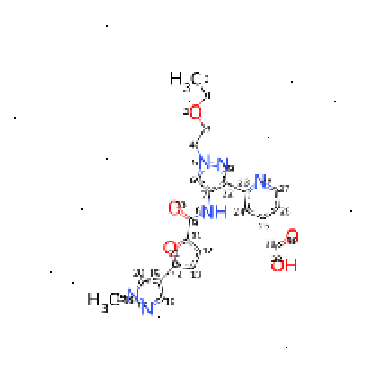 CCOCCn1cc(NC(=O)c2ccc(-c3cnn(C)c3)o2)c(-c2ccccn2)n1.O=CO